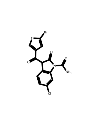 NC(=O)N1C(=O)C(C(=O)c2coc(Br)c2)c2ccc(Cl)cc21